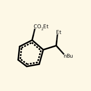 CCCCC(CC)c1ccccc1C(=O)OCC